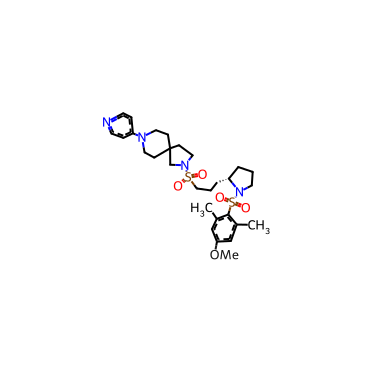 COc1cc(C)c(S(=O)(=O)N2CCC[C@H]2CCCS(=O)(=O)N2CCC3(CCN(c4ccncc4)CC3)C2)c(C)c1